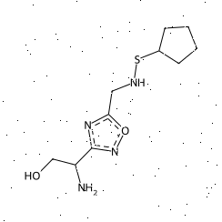 NC(CO)c1noc(CNSC2CCCC2)n1